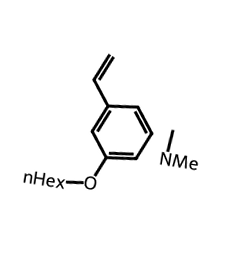 C=Cc1cccc(OCCCCCC)c1.CNC